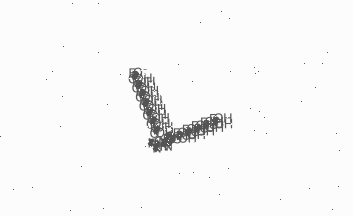 CN(C)C(On1nnc2ccccc21)=[N+](C)C.O=P(O)(O)F.O=P(O)(O)F.O=P(O)(O)F.O=P(O)(O)F.O=P(O)(O)F.O=P(O)(O)F.O=P(O)(O)F.O=P(O)(O)F.O=P(O)(O)F.O=P(O)(O)F.O=P(O)(O)F.O=P([O-])(O)F